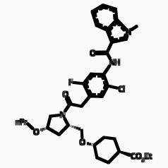 CCCO[C@H]1C[C@@H](CO[C@H]2CC[C@H](C(=O)OCC)CC2)N(C(=O)Cc2cc(Cl)c(NC(=O)c3cn(C)c4ccccc34)cc2F)C1